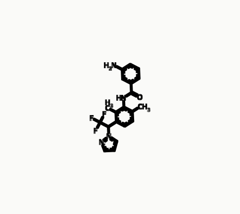 Cc1ccc(C(n2cccn2)C(F)(F)F)c(C)c1NC(=O)c1cccc(N)c1